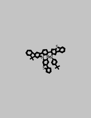 CC(C)(C)c1ccc(N2B3c4cc5c(cc4-n4c6cc7c(cc6c6ccc(c3c64)-c3cc4sc6ccccc6c4cc32)-c2ccccc2C7(C)C)sc2ccccc25)cc1